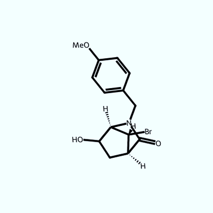 COc1ccc(CN2C(=O)[C@H]3CC(O)[C@@H]2[C@@H]3Br)cc1